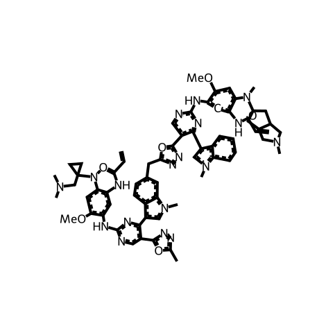 C=CC(=O)Nc1cc(Nc2ncc(-c3nnc(Cc4ccc5c(-c6nc(Nc7cc(NC(=O)C=C)c(N(C)C8(CN(C)C)CC8)cc7OC)ncc6-c6nnc(C)o6)cn(C)c5c4)o3)c(-c3cn(C)c4ccccc34)n2)c(OC)cc1N(C)C1CC2CN(C)CC2C1